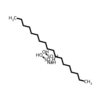 CCCCCCCCCCCCCCCCCC.O=S(=O)(O)O.O=S(=O)(O)O.[NaH]